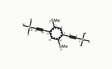 CSc1cc(C#C[Si](C)(C)C)c(SC)cc1C#C[Si](C)(C)C